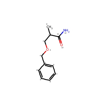 CC(COCc1ccccc1)C(N)=O